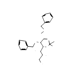 CC1(C)O[C@@H]([C@@H](O)[C@H](O)CO)[C@@H](OCc2ccccc2)[C@H](COCc2ccccc2)O1